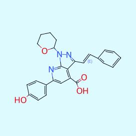 O=C(O)c1cc(-c2ccc(O)cc2)nc2c1c(/C=C/c1ccccc1)nn2C1CCCCO1